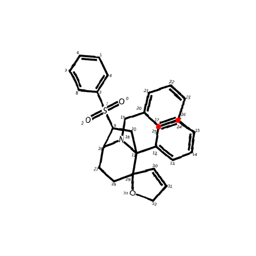 O=S(=O)(c1ccccc1)C1CC2(c3ccccc3)N(Cc3ccccc3)C1CCC21C=CCO1